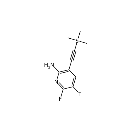 C[Si](C)(C)C#Cc1cc(F)c(F)nc1N